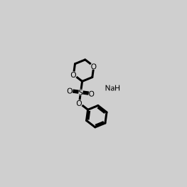 O=S(=O)(Oc1ccccc1)C1COCCO1.[NaH]